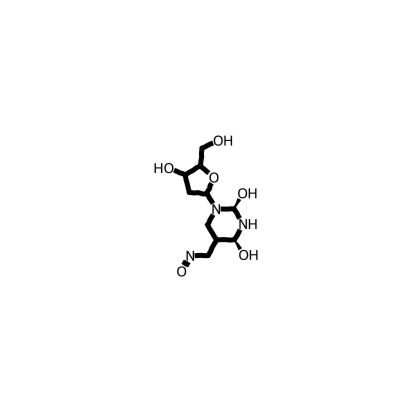 O=NCC1CN(C2CC(O)C(CO)O2)[C@@H](O)N[C@H]1O